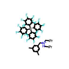 Cc1cc(C)cc(C[NH+](CC(C)C)CC(C)C)c1.Fc1c(F)c(F)c([B-](c2c(F)c(F)c(F)c(F)c2F)(c2c(F)c(F)c(F)c(F)c2F)c2c(F)c(F)c(F)c(F)c2F)c(F)c1F